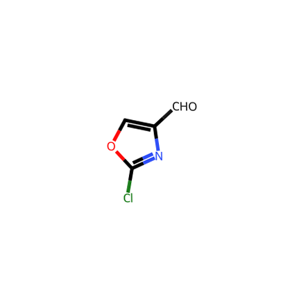 O=Cc1coc(Cl)n1